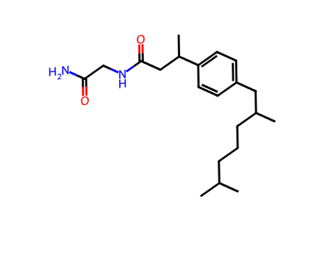 CC(C)CCCC(C)Cc1ccc(C(C)CC(=O)NCC(N)=O)cc1